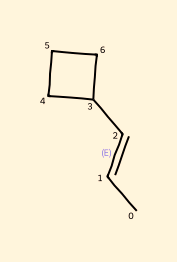 C/C=C/C1CCC1